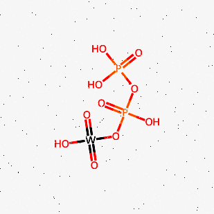 O=P(O)(O)OP(=O)(O)[O][W](=[O])(=[O])[OH]